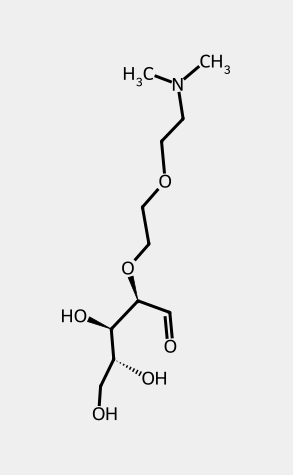 CN(C)CCOCCO[C@@H](C=O)[C@H](O)[C@H](O)CO